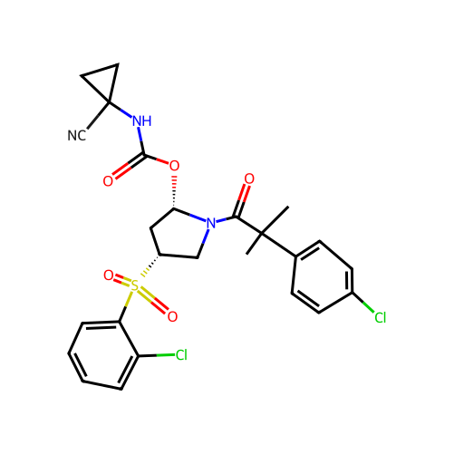 CC(C)(C(=O)N1C[C@H](S(=O)(=O)c2ccccc2Cl)C[C@@H]1OC(=O)NC1(C#N)CC1)c1ccc(Cl)cc1